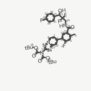 Cc1cc(F)c(-c2ccn3nc(N(C(=O)OC(C)(C)C)C(=O)OC(C)(C)C)nc3c2)cc1C(=O)NCC(F)(F)C(O)c1ccc(F)cc1